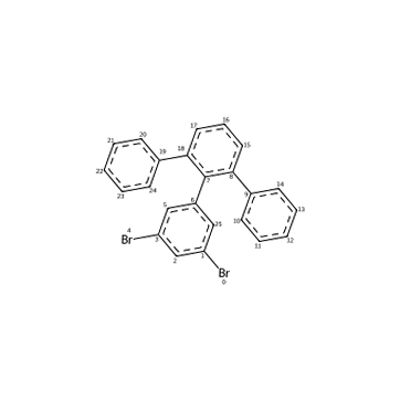 Brc1cc(Br)cc(-c2c(-c3ccccc3)cccc2-c2ccccc2)c1